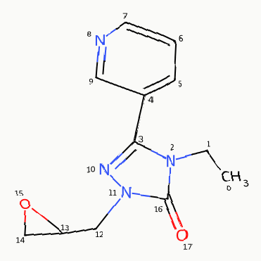 CCn1c(-c2cccnc2)nn(CC2CO2)c1=O